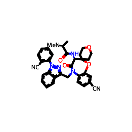 CN[C@@H](C)C(=O)N[C@@H]1C(=O)N(Cc2nn(-c3ccccc3C#N)c3ccccc23)c2ccc(C#N)cc2OC12CCOCC2